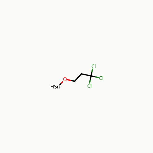 ClC(Cl)(Cl)CC[O][SnH]